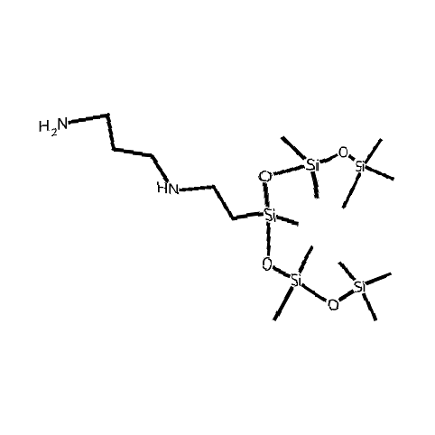 C[Si](C)(C)O[Si](C)(C)O[Si](C)(CCNCCCN)O[Si](C)(C)O[Si](C)(C)C